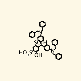 O=S(=O)(O)c1cc(S(=O)(=O)O)c(C(c2ccc(N(Cc3ccccc3)Cc3ccccc3)cc2)c2ccc(N(Cc3ccccc3)Cc3ccccc3)cc2)cc1O